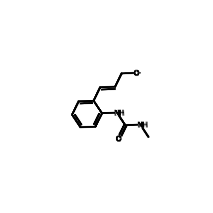 CNC(=O)Nc1ccccc1/C=C/C[O]